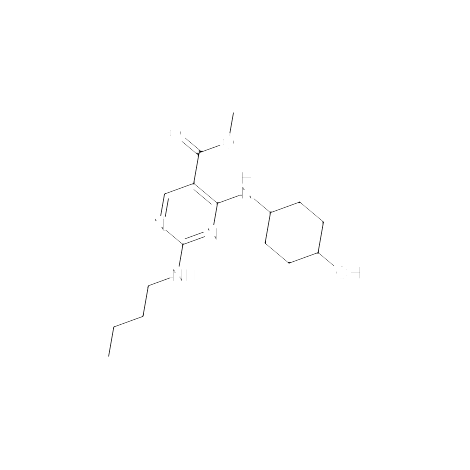 CCCCNc1ncc(C(=O)OC)c(NC2CCC(O)CC2)n1